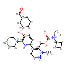 CN1N=CCC(c2ccc(O[C@H]3CCCC(C=O)C3)c(N3CCOCC3)n2)=C1COC(=O)N(C)C1CCC1